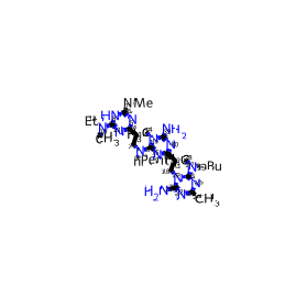 CCCCCN(CCC1N=C(NC)NC(N(C)CC)=N1)C1=NC(CCN2C(N)=NC(C)N=C2N(C)CCCC)N=C(N)N1C